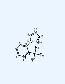 FC(F)(F)c1ncccc1-n1cncn1